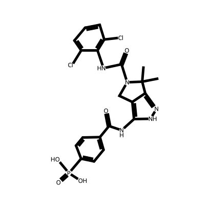 CC1(C)c2n[nH]c(NC(=O)c3ccc(P(=O)(O)O)cc3)c2CN1C(=O)Nc1c(Cl)cccc1Cl